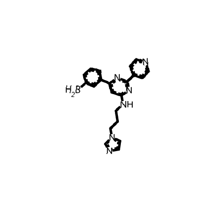 Bc1cccc(-c2cc(NCCCn3ccnc3)nc(-c3ccncc3)n2)c1